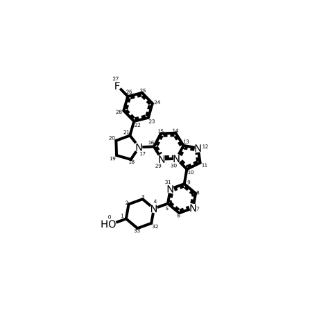 OC1CCN(c2cncc(-c3cnc4ccc(N5CCCC5c5cccc(F)c5)nn34)n2)CC1